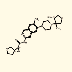 Cc1cc2cnc(NC(=O)[C@H]3C[C@@]34CCOC4)cc2cc1N1CCN([C@@]2(C)COC[C@H]2O)CC1